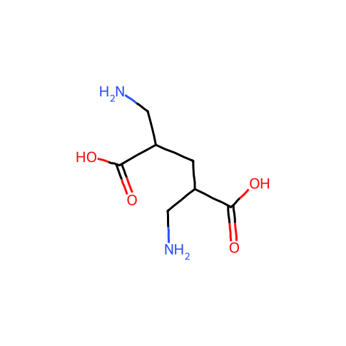 NCC(CC(CN)C(=O)O)C(=O)O